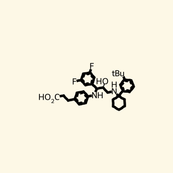 CC(C)(C)c1cccc(C2(NC[C@@H](O)C(Nc3ccc(CCC(=O)O)cc3)c3cc(F)cc(F)c3)CCCCC2)c1